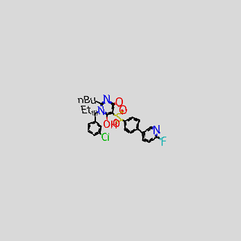 CCCCc1nc(=O)c(S(=O)(=O)c2ccc(-c3ccc(F)nc3)cc2)c(O)n1[C@@H](CC)c1cccc(Cl)c1